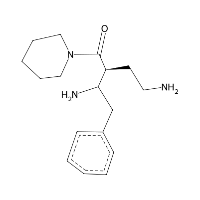 NCC[C@H](C(=O)N1CCCCC1)C(N)Cc1ccccc1